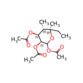 CC[C@@]1(C)OC(OC(C)=O)[C@@H](OC(C)=O)[C@@H](OC(C)=O)[C@@H]1C